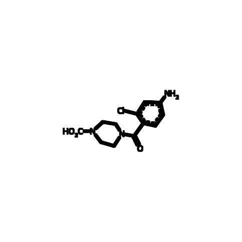 Nc1ccc(C(=O)N2CCN(C(=O)O)CC2)c(Cl)c1